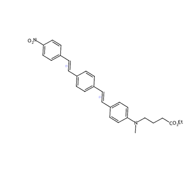 CCOC(=O)CCCN(C)c1ccc(/C=C/c2ccc(/C=C/c3ccc([N+](=O)[O-])cc3)cc2)cc1